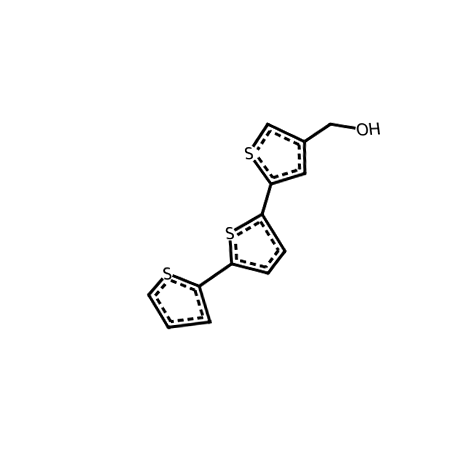 OCc1csc(-c2ccc(-c3cccs3)s2)c1